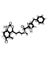 CN(CCCC1OC(=O)Nc2ccc(Cl)c(F)c21)C(=O)c1nc(Cc2ccccc2)c[nH]1